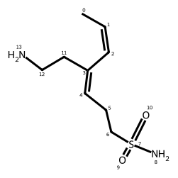 C/C=C\C(=C/CCS(N)(=O)=O)CCN